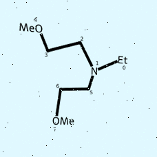 CCN(CCOC)CCOC